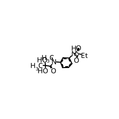 CCS(=O)(=O)Nc1cccc(N(C)C(=O)C(C)(O)O)c1